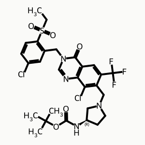 CCS(=O)(=O)c1ccc(Cl)cc1Cn1cnc2c(Cl)c(CN3CC[C@@H](NC(=O)OC(C)(C)C)C3)c(C(F)(F)F)cc2c1=O